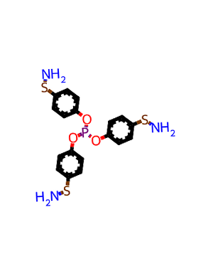 NSc1ccc(OP(Oc2ccc(SN)cc2)Oc2ccc(SN)cc2)cc1